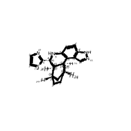 c1csc([C@@H]2Nc3ccc4[nH]ncc4c3[C@H]3[C@@H]4CC[C@@H](C4)[C@H]32)n1